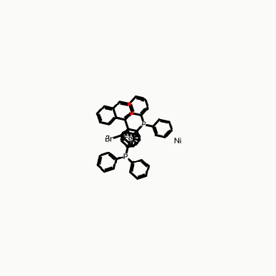 Br[C]12[CH]3[CH]4[C]5(P(c6ccccc6)c6ccccc6)[C]1(c1cccc6ccccc16)[Fe]34251678[CH]2[CH]1[CH]6[C]7(P(c1ccccc1)c1ccccc1)[CH]28.[Ni]